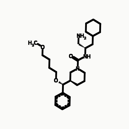 COCCCCO[C@@H](c1ccccc1)[C@@H]1CCCN(C(=O)N[C@H](CN)CC2CCCCC2)C1